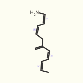 C=C(/C=C\C=C/C)C/C=C\C=C/N